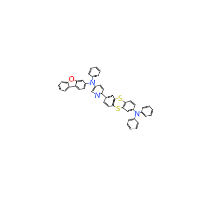 c1ccc(N(c2ccccc2)c2ccc3c(c2)Sc2ccc(-c4ccc(N(c5ccccc5)c5ccc6c(c5)oc5ccccc56)cn4)cc2S3)cc1